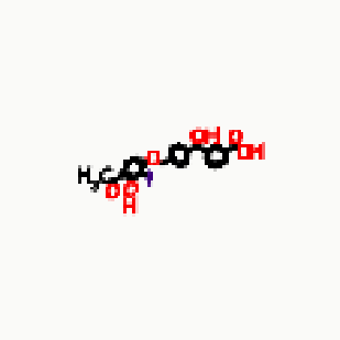 CC(=O)c1ccc(OCc2ccc(C(O)c3cccc(C(=O)O)c3)cc2)c(I)c1O